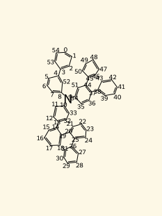 c1ccc(-c2cccc(N(c3ccc(-c4ccccc4-c4ccccc4-c4ccccc4)cc3)c3ccc(-c4ccccc4)c(-c4ccccc4)c3)c2)cc1